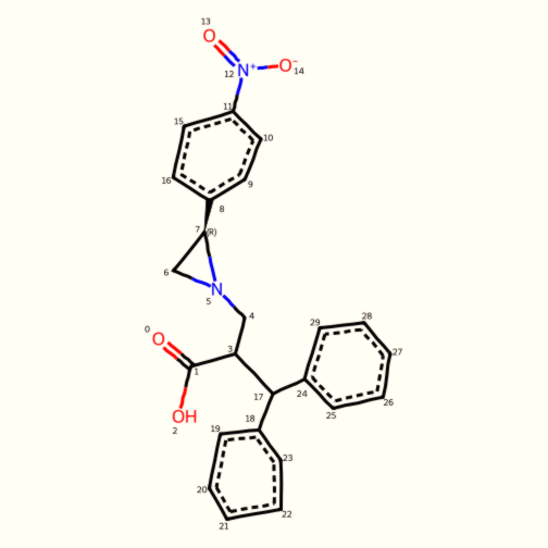 O=C(O)C(CN1C[C@H]1c1ccc([N+](=O)[O-])cc1)C(c1ccccc1)c1ccccc1